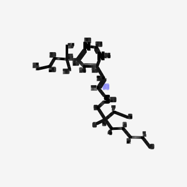 CCCCCC(C)(CC)CS/C=C/c1cc(C(C)(C)CCC)ncn1